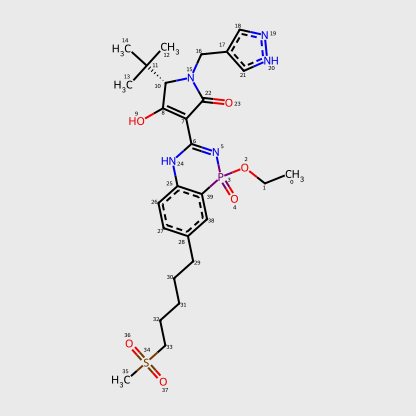 CCOP1(=O)N=C(C2=C(O)[C@H](C(C)(C)C)N(Cc3cn[nH]c3)C2=O)Nc2ccc(CCCCCS(C)(=O)=O)cc21